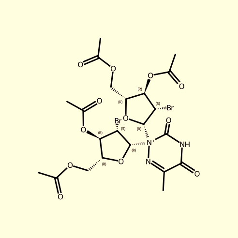 CC(=O)OC[C@H]1O[C@@H]([N+]2([C@@H]3O[C@H](COC(C)=O)[C@@H](OC(C)=O)[C@@H]3Br)N=C(C)C(=O)NC2=O)[C@@H](Br)[C@@H]1OC(C)=O